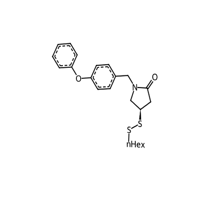 CCCCCCSS[C@@H]1CC(=O)N(Cc2ccc(Oc3ccccc3)cc2)C1